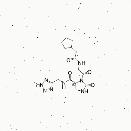 O=C(CC1CCCC1)NCC(=O)N1C(=O)NC[C@H]1C(=O)NCc1nn[nH]n1